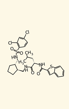 CC(C)C[C@H](NC(=O)c1cc2ccccc2s1)C(=O)NC[C@H]1CCC[C@@H]1CNS(=O)(=O)c1ccc(Cl)cc1Cl